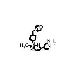 Cc1nc2ccc(-c3ccnc(N)c3)nc2n1-c1ccc(CN2CCOCC2)cc1